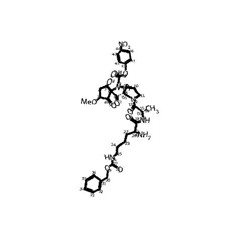 COC1CC(=O)C(C(=O)[C@@H]2CCCN2C(=O)[C@H](C)NC(=O)[C@@H](N)CCCCNC(=O)OCc2ccccc2)(N(C(=O)Oc2ccc([N+](=O)[O-])cc2)C(C)C)C1=O